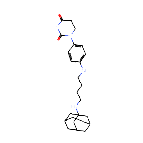 O=C1CCN(c2ccc(NCCCCNC34CC5CC(CC(C5)C3)C4)cc2)C(=O)N1